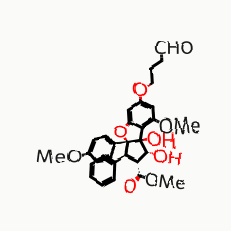 COC(=O)[C@H]1[C@@H](O)[C@@]2(O)c3c(OC)cc(OCCCC=O)cc3O[C@@]2(c2ccc(OC)cc2)[C@@H]1c1ccccc1